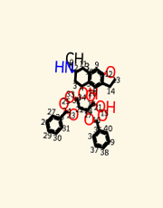 CNC1CCc2cc3c(cc2C1)OCC3.O=C(OC(C(=O)O)C(OC(=O)c1ccccc1)C(=O)O)c1ccccc1